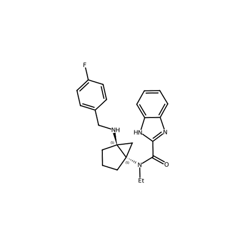 CCN(C(=O)c1nc2ccccc2[nH]1)[C@]12CCC[C@]1(NCc1ccc(F)cc1)C2